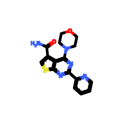 NC(=O)c1csc2nc(-c3ccccn3)nc(N3CCOCC3)c12